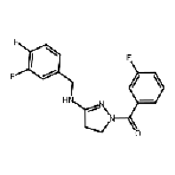 O=C(c1cccc(F)c1)N1CCC(NCc2ccc(F)c(F)c2)=N1